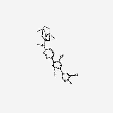 Cc1cc(-c2ccc(N(C)[C@@H]3C[C@]4(C)CC[C@](C)(C3)N4)nn2)c(O)cc1-c1ccn(C)c(=O)c1